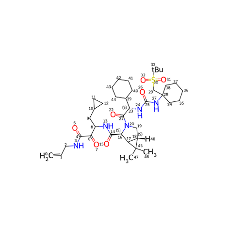 C=CCNC(=O)C(=O)C(CC1CC1)NC(=O)[C@@H]1C2[C@H](CN1C(=O)[C@@H](NC(=O)NC1(CS(=O)(=O)C(C)(C)C)CCCCC1)C1CCCCC1)C2(C)C